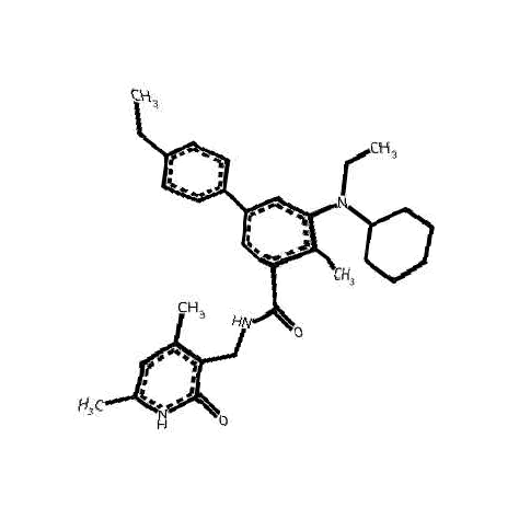 CCc1ccc(-c2cc(C(=O)NCc3c(C)cc(C)[nH]c3=O)c(C)c(N(CC)C3CCCCC3)c2)cc1